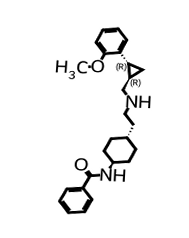 COc1ccccc1[C@@H]1C[C@H]1CNCC[C@H]1CC[C@H](NC(=O)c2ccccc2)CC1